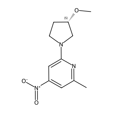 CO[C@H]1CCN(c2cc([N+](=O)[O-])cc(C)n2)C1